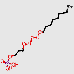 CC(C)CCCCCCCOOOOOCCCOP(=O)(O)O